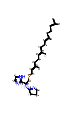 CC(C)=CCC/C(C)=C/CC/C(C)=C/CC/C(C)=C/CSCC(NC1=NCCC1)c1ncc[nH]1